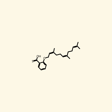 CC(C)=CCCC(C)=CCCC(C)=CCOc1ccccc1C(O)=S